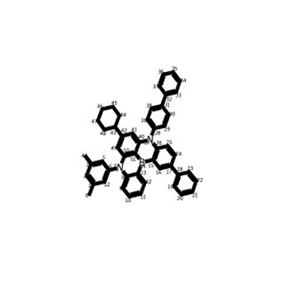 Cc1cc(C)cc(N2c3ccccc3B3c4cc(-c5ccccc5)ccc4N(c4ccc(-c5ccccc5)cc4)c4cc(C5CCCCC5)cc2c43)c1